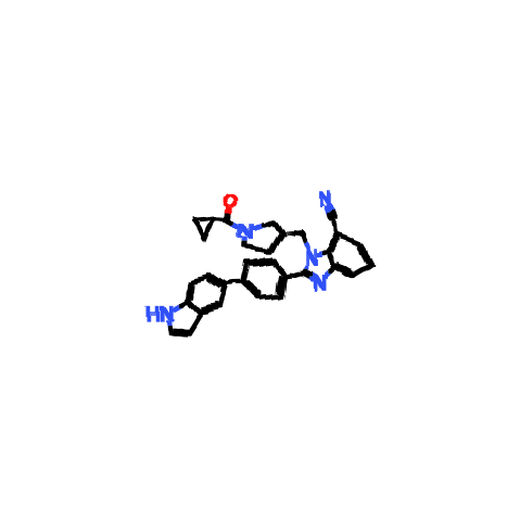 N#Cc1cccc2nc(-c3ccc(-c4ccc5[nH]ccc5c4)cc3)n(C[C@H]3CCN(C(=O)C4CC4)C3)c12